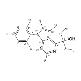 CCC(O)(CC)c1nc(C)nc2c1c(C)c(C)n2-c1c(C)cc(C)cc1C